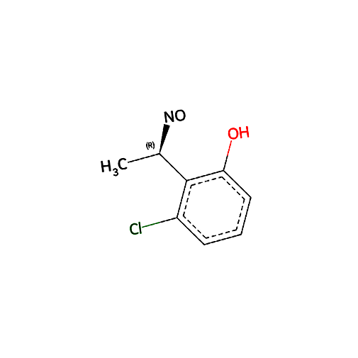 C[C@@H](N=O)c1c(O)cccc1Cl